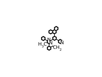 C=Cc1ccccc1-c1nc(-c2cc(-c3ccncc3)cc(-c3cc4ccccc4c4ccccc34)c2)nc(-c2ccccc2)c1C